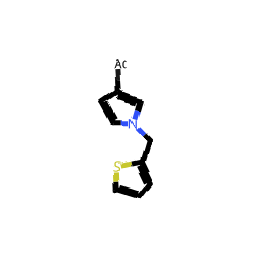 CC(=O)c1ccn(Cc2cccs2)c1